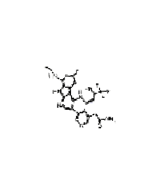 CCNc1cc(F)cc2c1[nH]c1ncc(-c3cncc(CC(N)=O)c3)c(N/C=C\C(=N)C(F)(F)F)c12